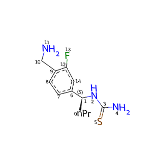 CCC[C@H](NC(N)=S)c1ccc(CN)c(F)c1